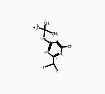 CC(C)(C)Nc1cc(Cl)nc(C(F)F)n1